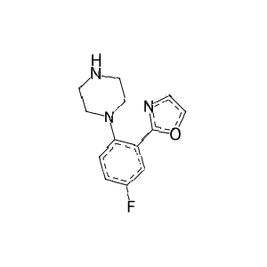 Fc1ccc(N2CCNCC2)c(-c2ncco2)c1